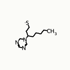 CCCCCC(CC[S])N1C=NC=NC1